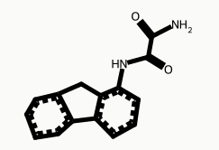 NC(=O)C(=O)Nc1cccc2c1Cc1ccccc1-2